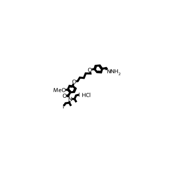 COc1cc(OCCCCCOc2ccc(C=NN)cc2)ccc1C(=O)N(C(C)CI)C(C)CI.Cl